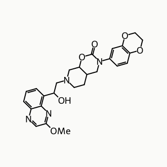 COc1cnc2cccc(C(O)CN3CCC4CN(c5ccc6c(c5)OCCO6)C(=O)OC4C3)c2n1